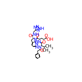 CC(C)[C@H](NC(=O)Cc1ccccc1)C(=O)NC(CCC(=O)O)C(=O)N1c2ncccc2C[C@H]1C(=O)NCc1nn[nH]n1